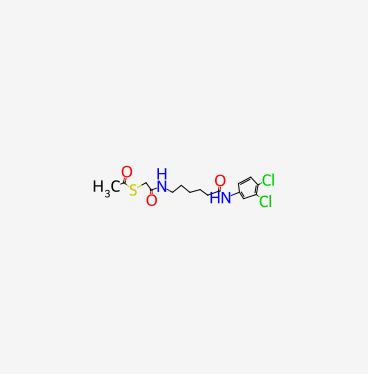 CC(=O)SCC(=O)NCCCCCC(=O)Nc1ccc(Cl)c(Cl)c1